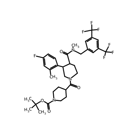 Cc1cc(F)ccc1C1CN(C(=O)C2CCN(C(=O)OC(C)(C)C)CC2)CCC1C(=O)N(C)Cc1cc(C(F)(F)F)cc(C(F)(F)F)c1